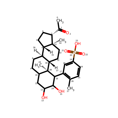 CC(=O)[C@H]1CC[C@H]2[C@@H]3CCC4CC(O)C(O)C(c5cc(S(=O)(=O)O)ccc5C)[C@]4(C)[C@H]3CC[C@]12C